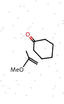 C=C(C)OC.O=C1CCCCC1